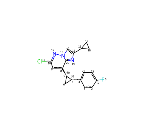 Fc1ccc([C@@H]2C[C@H]2c2cc(Cl)nn3cc(C4CC4)nc23)cc1